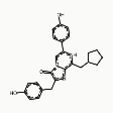 O=c1c(Cc2ccc(O)cc2)nc2c(CC3CCCC3)[nH]c(-c3ccc(O)cc3)cn1-2